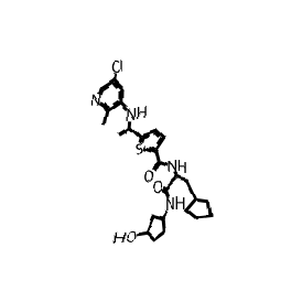 Cc1ncc(Cl)cc1NC(C)c1ccc(C(=O)NC(CC2CCCC2)C(=O)NC2CCC(O)C2)s1